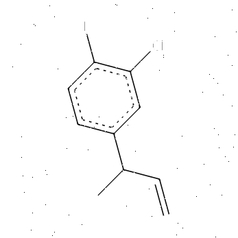 C=C[C](C)c1ccc(I)c(Cl)c1